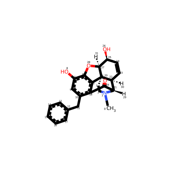 CN1CC[C@@]23c4c5c(O)cc(Cc6ccccc6)c4C(=O)[C@@H]1[C@@H]2C=C[C@H](O)[C@@H]3O5